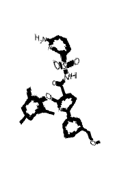 COCc1cccc(-c2ccc(C(=O)NS(=O)(=O)c3cccc(N)n3)c(Oc3c(C)cc(C)cc3C)n2)c1